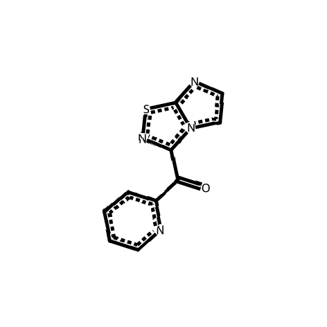 O=C(c1ccccn1)c1nsc2nccn12